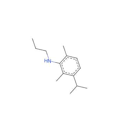 CCCNc1c(C)ccc(C(C)C)c1C